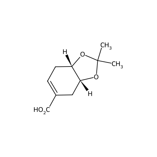 CC1(C)O[C@H]2CC=C(C(=O)O)C[C@H]2O1